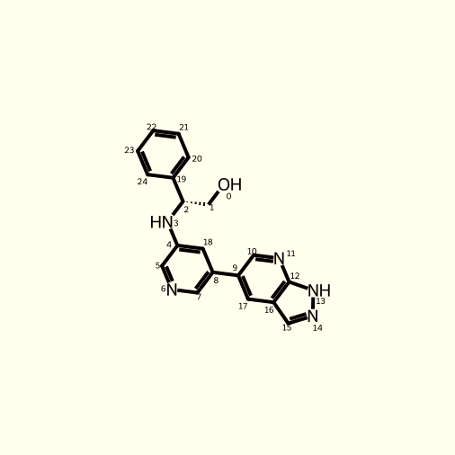 OC[C@H](Nc1cncc(-c2cnc3[nH]ncc3c2)c1)c1ccccc1